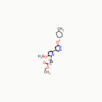 CCOC(=O)[C@H]1C[C@@H]1c1nc(-c2cnnc(OC[C@H]3CC[C@H](C)CC3)c2)ccc1OC